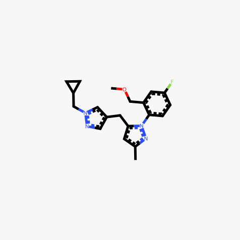 COCc1cc(F)ccc1-n1nc(C)cc1Cc1cnn(CC2CC2)c1